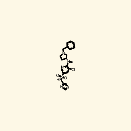 CN(c1ncc(S(=O)(=O)Nc2cscn2)cc1Cl)[C@H]1CCN(Cc2ccccc2)C1